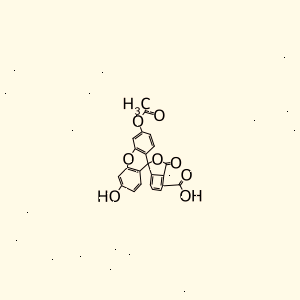 CC(=O)Oc1ccc2c(c1)Oc1cc(O)ccc1C21OC(=O)c2c(C(=O)O)cccc21